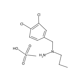 CCCN(N)Cc1ccc(Cl)c(Cl)c1.CS(=O)(=O)O